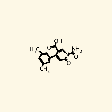 Cc1cc(C)cc(-c2cc(=O)n(C(N)=O)cc2C(=O)O)c1